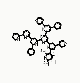 [2H]c1nc([2H])c(-c2cc(-c3ccncc3)cc(-c3cc(-c4cc(-c5ccccc5)cc(-c5cccnc5)n4)nc(-c4cc(-c5cccc(-c6ccccn6)n5)cc(-c5ccccc5)n4)n3)n2)c([2H])c1[2H]